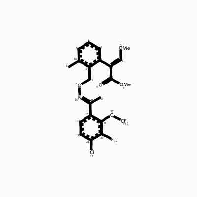 CO/C=C(/C(=O)OC)c1cccc(C)c1CO/N=C(\C)c1ccc(Cl)c(F)c1OC(F)(F)F